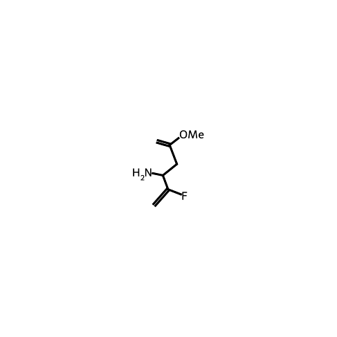 C=C(CC(N)C(=C)F)OC